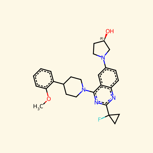 COc1ccccc1C1CCN(c2nc(C3(F)CC3)nc3ccc(N4CC[C@@H](O)C4)cc23)CC1